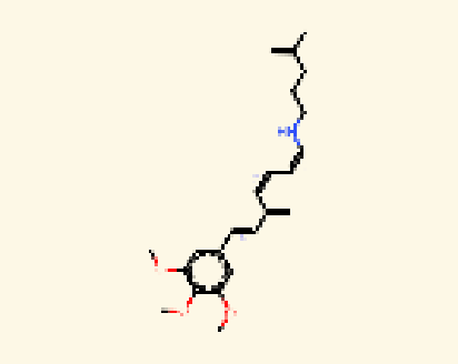 C=C(/C=C\C=C/NCCCC(=C)C)/C=C/c1cc(OC)c(OC)c(OC)c1